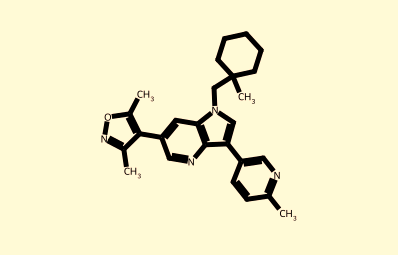 Cc1ccc(-c2cn(CC3(C)CCCCC3)c3cc(-c4c(C)noc4C)cnc23)cn1